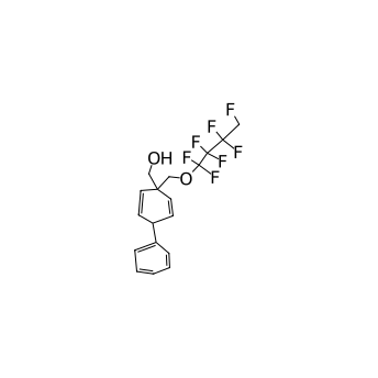 OCC1(COC(F)(F)C(F)(F)C(F)(F)CF)C=CC(c2ccccc2)C=C1